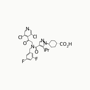 CC(C)c1c(C(=O)N(CC(=O)c2c(Cl)cncc2Cl)Cc2cc(F)cc(F)c2)cnn1[C@H]1CC[C@H](C(=O)O)CC1